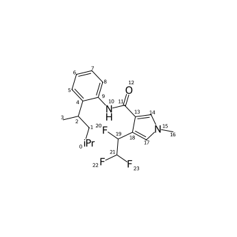 CC(C)CC(C)c1ccccc1NC(=O)c1cn(C)cc1C(F)C(F)F